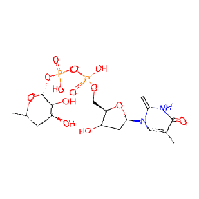 C=C1NC(=O)C(C)=CN1[C@H]1CC(O)[C@@H](COP(=O)(O)OP(=O)(O)O[C@H]2OC(C)C[C@H](O)C2O)O1